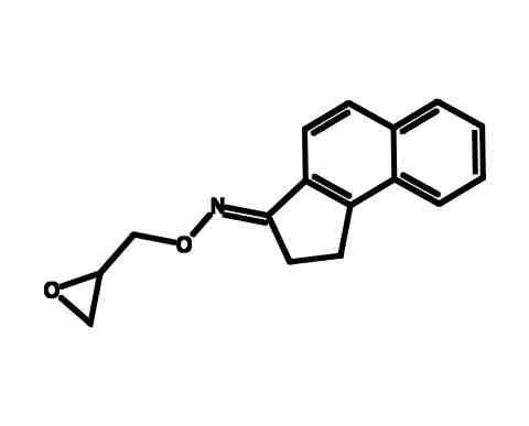 c1ccc2c3c(ccc2c1)C(=NOCC1CO1)CC3